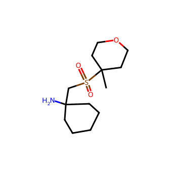 CC1(S(=O)(=O)CC2(N)CCCCC2)CCOCC1